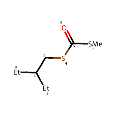 CCC(CC)CSC(=O)SC